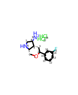 COC(C[C@@H]1CNC[C@H]1N)c1cccc(F)c1.Cl.Cl